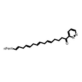 CCCCCC=CCC=CCC=CCC=CCCCC(=O)c1cccnn1